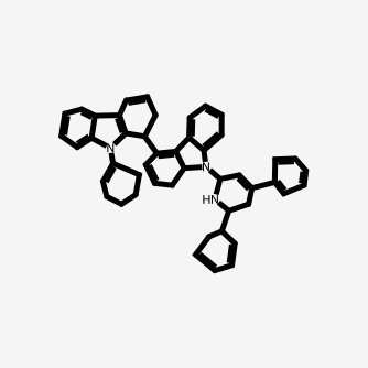 C1=CCC(C2CC(c3ccccc3)=CC(N3c4ccccc4C4=C(C5CC=Cc6c5n(C5=CCCCC5)c5ccccc65)C=CCC43)N2)C=C1